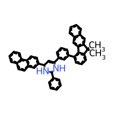 CC1(C)c2cc3ccccc3cc2-c2c(-c3cccc(C4=CC(c5ccc6c(ccc7ccccc76)c5)NC(c5ccccc5)N4)c3)cccc21